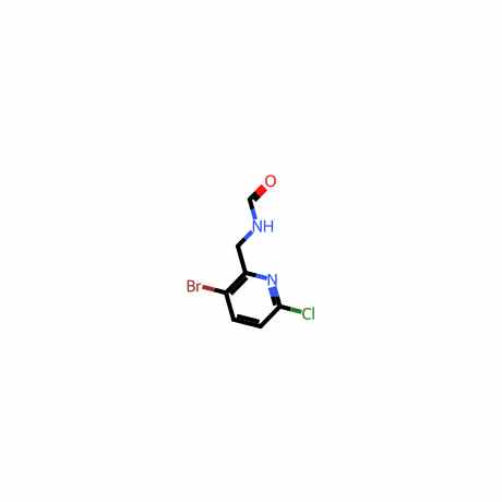 O=CNCc1nc(Cl)ccc1Br